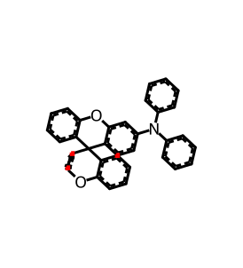 c1ccc(N(c2ccccc2)c2ccc3c(c2)Oc2ccccc2C32c3ccccc3Oc3ccccc32)cc1